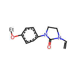 C=CN1CCN(c2ccc(OCC)cc2)C1=O